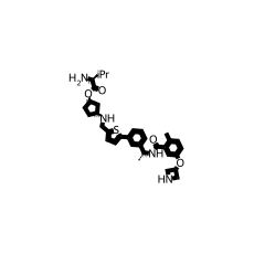 Cc1ccc(OC2CNC2)cc1C(=O)N[C@H](C)c1cccc(-c2ccc(CN[C@H]3CC[C@@H](OC(=O)[C@@H](N)C(C)C)C3)s2)c1